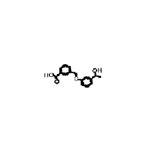 CC(O)c1cccc(OCc2cccc(C(=O)O)c2)c1